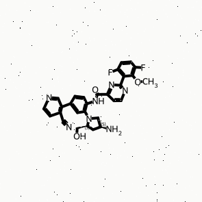 COc1c(F)ccc(F)c1-c1nccc(C(=O)Nc2ccc(-c3cnccc3C#N)cc2N2C[C@@H](N)C[C@H]2CO)n1